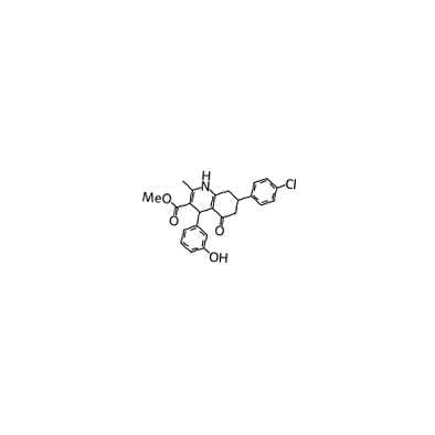 COC(=O)C1=C(C)NC2=C(C(=O)CC(c3ccc(Cl)cc3)C2)C1c1cccc(O)c1